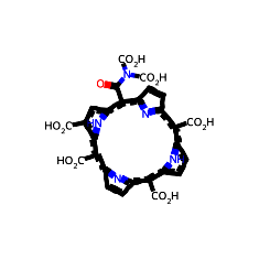 O=C(O)c1c2nc(c(C(=O)N(C(=O)O)C(=O)O)c3cc(C(=O)O)c([nH]3)c(C(=O)O)c3nc(c(C(=O)O)c4ccc1[nH]4)C=C3)C=C2